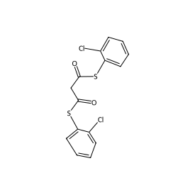 O=C(CC(=O)Sc1ccccc1Cl)Sc1ccccc1Cl